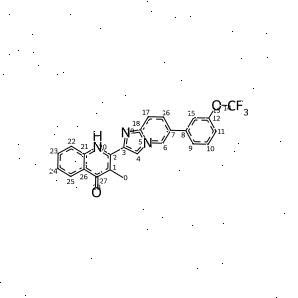 Cc1c(-c2cn3cc(-c4cccc(OC(F)(F)F)c4)ccc3n2)[nH]c2ccccc2c1=O